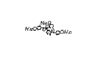 COc1ccc(COC(=O)c2ccnc(N(Cc3ccc(OC)cc3)Cc3ccc(OC)cc3)c2)cc1